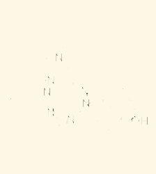 CN1CCN(N(c2ccccc2)c2ncnc3c2cnn3C2CCc3c(O)cccc32)CC1